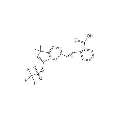 CC1(C)C=C(OS(=O)(=O)C(F)(F)F)c2cc(/C=C/c3ccccc3C(=O)O)ccc21